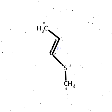 C/C=[C]/SC